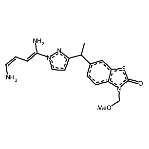 COCn1c(=O)sc2cc(C(C)c3ccn(/C(N)=C/C=C\N)n3)ccc21